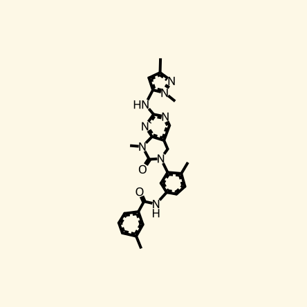 Cc1cccc(C(=O)Nc2ccc(C)c(N3Cc4cnc(Nc5cc(C)nn5C)nc4N(C)C3=O)c2)c1